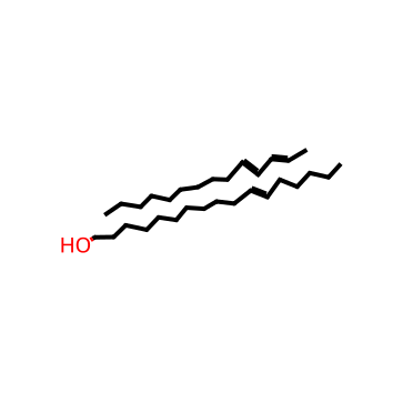 CC=CC=CCCCCCCCCC.CCCCCC=CCCCCCCCCCCO